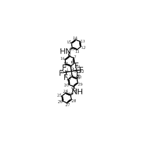 FC(F)(F)C(c1ccc(Nc2ccccc2)cc1)(c1ccc(Nc2ccccc2)cc1)C(F)(F)F